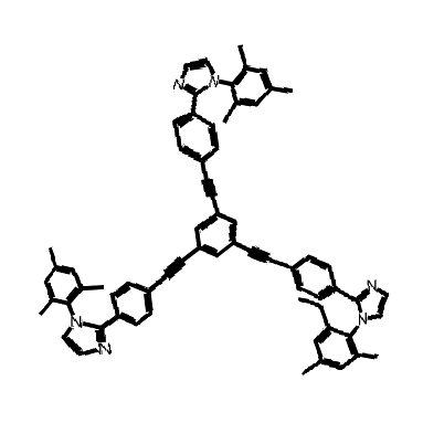 CCc1cc(C)cc(C)c1-n1ccnc1-c1ccc(C#Cc2cc(C#Cc3ccc(-c4nccn4-c4c(C)cc(C)cc4C)cc3)cc(C#Cc3ccc(-c4nccn4-c4c(C)cc(C)cc4C)cc3)c2)cc1